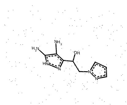 Nc1[nH]nc(C(O)Cn2cccn2)c1N